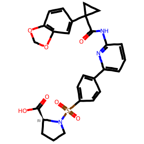 O=C(O)[C@@H]1CCCN1S(=O)(=O)c1ccc(-c2cccc(NC(=O)C3(c4ccc5c(c4)OCO5)CC3)n2)cc1